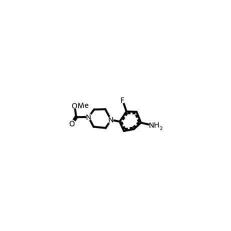 COC(=O)N1CCN(c2ccc(N)cc2F)CC1